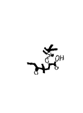 CCC(=O)C(C)(C)CC(O[Si](C)(C)C(C)(C)C)C(=O)O